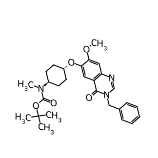 COc1cc2ncn(Cc3ccccc3)c(=O)c2cc1O[C@H]1CC[C@H](N(C)C(=O)OC(C)(C)C)CC1